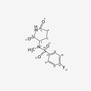 CN(C1CCC(=O)NC1=O)S(=O)(=O)c1ccc(F)cc1